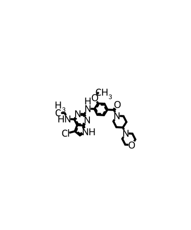 CCNc1nc(Nc2ccc(C(=O)N3CCC(N4CCOCC4)CC3)cc2OC)nc2[nH]cc(Cl)c12